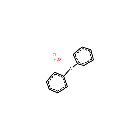 O.[Cl-].c1cc[c]([Al+][c]2ccccc2)cc1